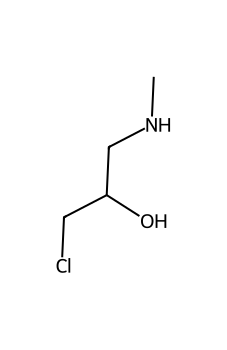 CNCC(O)CCl